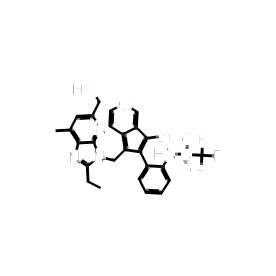 CCc1nc2c(C)cc(CO)nc2n1Cc1c2ccocc-2c(Br)c1-c1ccccc1NS(=O)(=O)C(F)(F)F